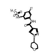 CS(=O)(=O)Nc1cc(Cl)cc(NC(=O)c2cnn(C3CCOCC3)c2)c1